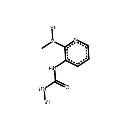 CCP(C)c1ncccc1NC(=O)NC(C)C